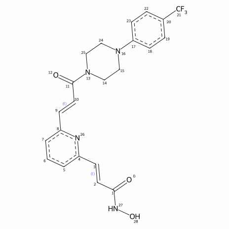 O=C(/C=C/c1cccc(/C=C/C(=O)N2CCN(c3ccc(C(F)(F)F)cc3)CC2)n1)NO